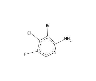 Nc1ncc(F)c(Cl)c1Br